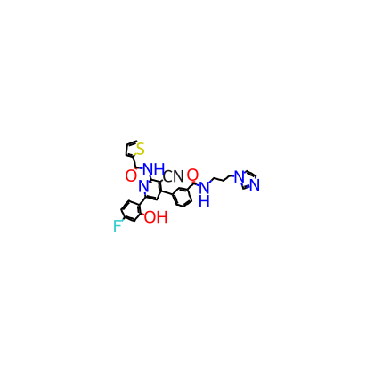 N#Cc1c(-c2cccc(C(=O)NCCCn3ccnc3)c2)cc(-c2ccc(F)cc2O)nc1NC(=O)c1cccs1